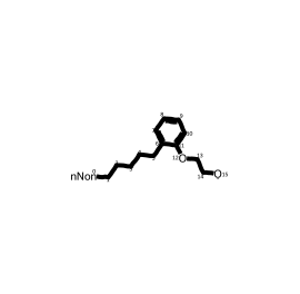 CCCCCCCCCCCCCCc1ccccc1OCC[O]